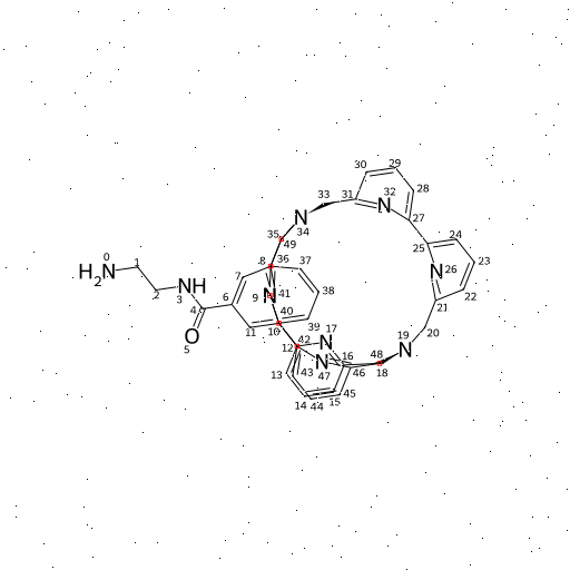 NCCNC(=O)c1cc2nc(c1)-c1cccc(n1)C[N@]1Cc3cccc(n3)-c3cccc(n3)C[N@@](Cc3cccc(n3)-c3cccc(n3)C1)C2